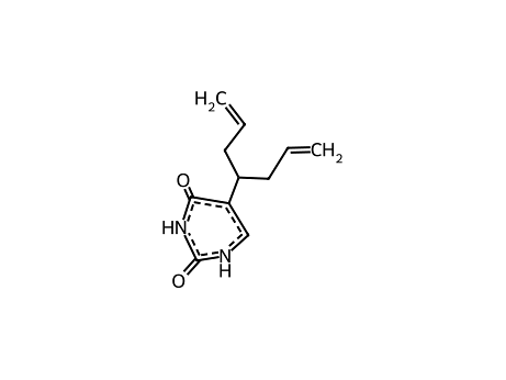 C=CCC(CC=C)c1c[nH]c(=O)[nH]c1=O